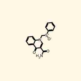 NC(=O)c1cn(C[S+]([O-])c2ccccc2)c2ccccc2c1=O